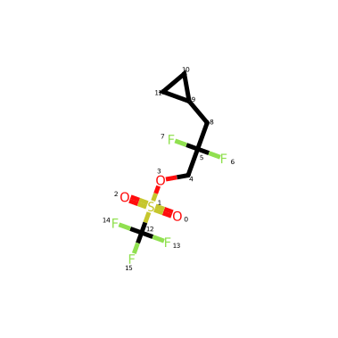 O=S(=O)(OCC(F)(F)CC1CC1)C(F)(F)F